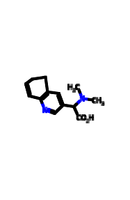 CN(C)C(C(=O)O)c1cnc2c(c1)CCC=C2